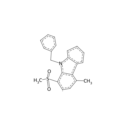 Cc1c[c]c(S(C)(=O)=O)c2c1c1ccccc1n2Cc1ccccc1